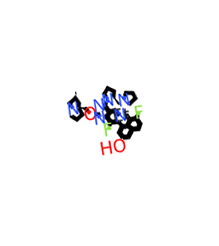 CCc1c(F)ccc2cc(O)cc(-c3ncc4c(N5CCC[C@H]5CN5CCCC5)nc(OC[C@@]56CCCN5C[C@H](C)C6)nc4c3F)c12